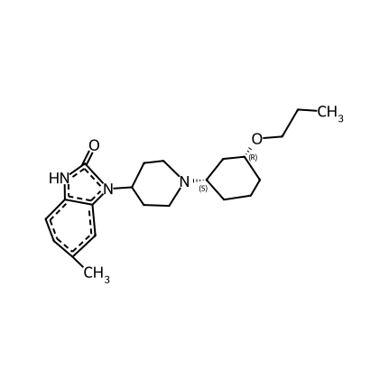 CCCO[C@@H]1CCC[C@H](N2CCC(n3c(=O)[nH]c4ccc(C)cc43)CC2)C1